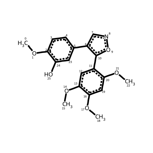 COc1ccc(-c2cnoc2-c2cc(OC)c(OC)cc2OC)cc1O